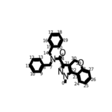 Cn1nc(C(=O)N(Cc2ccccc2)Cc2ccccc2)c2c1-c1ccccc1OC2